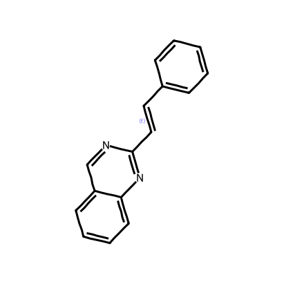 C(=C\c1ncc2ccccc2n1)/c1ccccc1